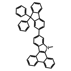 Cn1c2cc(-c3ccc4c(c3)C(c3ccccc3)(c3ccccc3)c3ccccc3-4)ccc2c2c3ccccc3c3ccccc3c21